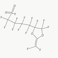 O=S(=O)(F)C(F)(F)C(F)(F)C(F)(F)C(F)(F)C1(F)OC(=C(F)F)OC1(F)F